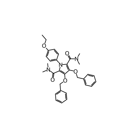 CCOc1ccc(-n2c(C(=O)N(C)C)c(OCc3ccccc3)c(OCc3ccccc3)c2C(=O)N(C)C)cc1